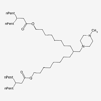 CCCCCC(CCCCC)CC(=O)OCCCCCCCCC(CCCCCCCCOC(=O)CC(CCCCC)CCCCC)CN1CCN(C)CC1